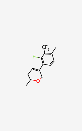 Cc1ccc(C2=CCC(C)OC2)c(F)c1C(F)(F)F